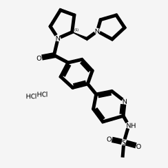 CS(=O)(=O)Nc1ccc(-c2ccc(C(=O)N3CCC[C@H]3CN3CCCC3)cc2)cn1.Cl.Cl